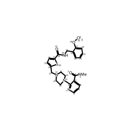 CNC(=O)c1cccnc1N1CCN(Cc2ccc(C(=O)NCc3ccccc3OC(F)(F)F)s2)CC1